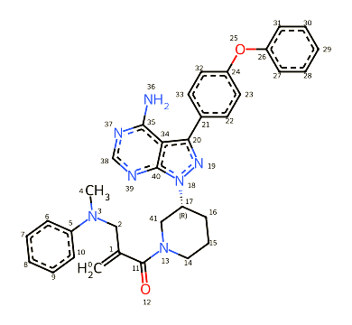 C=C(CN(C)c1ccccc1)C(=O)N1CCC[C@@H](n2nc(-c3ccc(Oc4ccccc4)cc3)c3c(N)ncnc32)C1